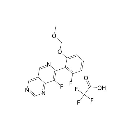 COCOc1cccc(F)c1-c1ncc2cncnc2c1F.O=C(O)C(F)(F)F